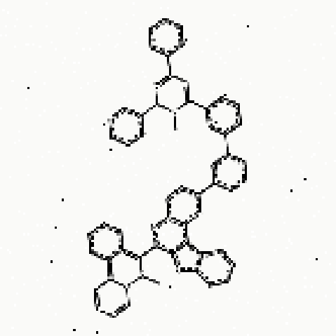 CC1C(c2nc3ccc(-c4cccc(-c5cccc(C6=NC(c7ccccc7)=NC(c7ccccc7)N6C)c5)c4)cc3c3c2sc2ccccc23)=c2ccccc2=C2C=CC=CC21